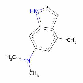 Cc1cc(N(C)C)cc2[nH][c]cc12